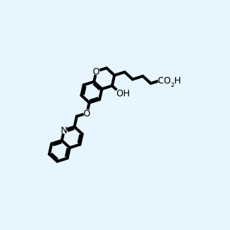 O=C(O)CCCCC1COc2ccc(OCc3ccc4ccccc4n3)cc2C1O